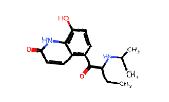 CCC(NC(C)C)C(=O)c1ccc(O)c2[nH]c(=O)ccc12